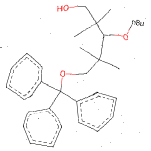 CCCCOC(C(C)(C)CO)C(C)(C)COC(c1ccccc1)(c1ccccc1)c1ccccc1